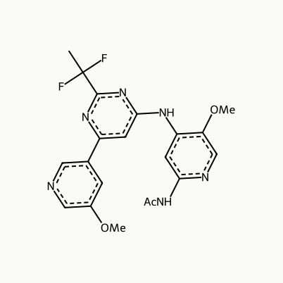 COc1cncc(-c2cc(Nc3cc(NC(C)=O)ncc3OC)nc(C(C)(F)F)n2)c1